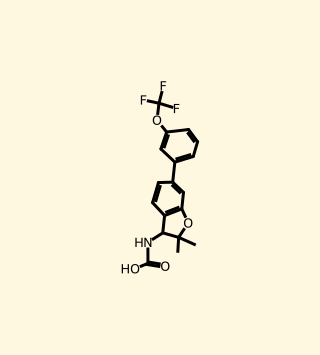 CC1(C)Oc2cc(-c3cccc(OC(F)(F)F)c3)ccc2C1NC(=O)O